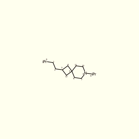 CC(C)CCC1CC2(CCN(C(C)C)CC2)C1